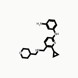 Nc1cccc(Nc2ccc(CNCC3CCOCC3)c(C3CC3)n2)c1